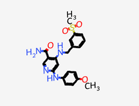 COc1ccc(Nc2cc(NCc3cccc(S(C)(=O)=O)c3)c(C(N)=O)cn2)cc1